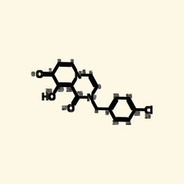 O=c1ccn2ccn(Cc3ccc(Cl)cc3)c(=O)c2c1O